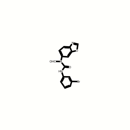 O=CN(C(=O)Nc1cccc(Br)c1)c1ccc2ncoc2c1